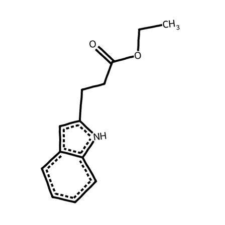 CCOC(=O)CCc1cc2ccccc2[nH]1